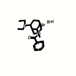 Br.Br.CCN(CC)C1CCC2CN(C)CC1C2OC(=O)c1ccccc1